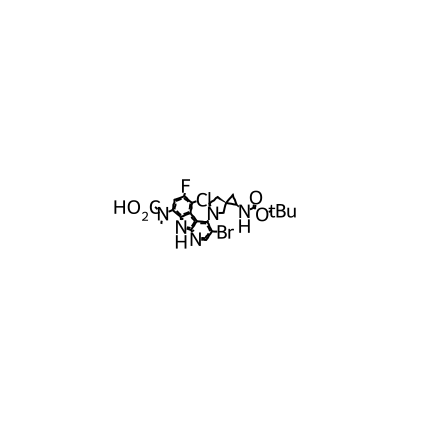 CN(C(=O)O)c1cc(F)c(Cl)c2c1[nH]c1ncc(Br)c(N3CC[C@]4(C[C@H]4NC(=O)OC(C)(C)C)C3)c12